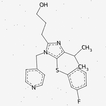 CC(C)c1nc(CCCO)n(Cc2ccncc2)c1Sc1cccc(F)c1